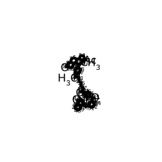 CC(=O)C1CCC2C3CCC4=CC(=O)CCC4=C3C(c3ccc(N(C)CCCCCC(=O)N4CCN(C(=O)c5cc(Cc6n[nH]c(=O)c7ccccc67)ccc5F)CC4)cc3)CC12C